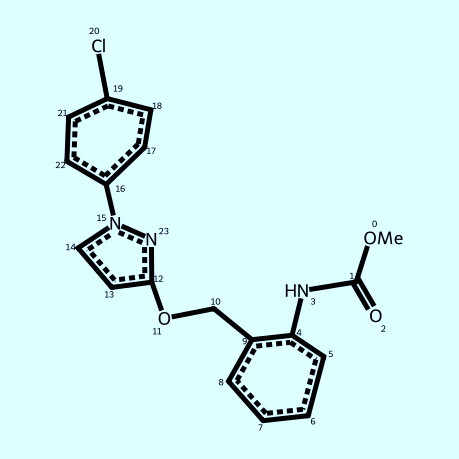 COC(=O)Nc1ccccc1COc1ccn(-c2ccc(Cl)cc2)n1